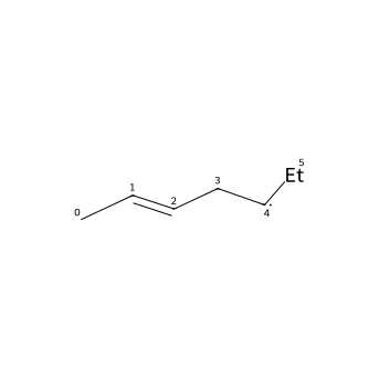 CC=CC[CH]CC